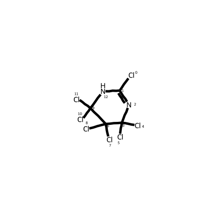 ClC1=NC(Cl)(Cl)C(Cl)(Cl)C(Cl)(Cl)N1